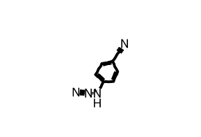 N#Cc1ccc(N[N+]#N)cc1